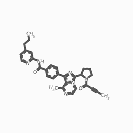 CC#CC(=O)N1CCCC1c1nc(-c2ccc(C(=O)Nc3cc(CCC)ccn3)cc2)c2c(C)nccn12